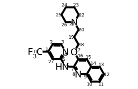 FC(F)(F)c1ccnc(Nc2nc3ccccc3cc2OCCCN2CCCCC2)c1